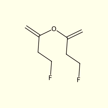 C=C(CCF)OC(=C)CCF